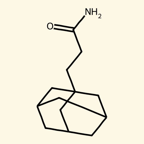 NC(=O)CCC12CC3CC(CC(C3)C1)C2